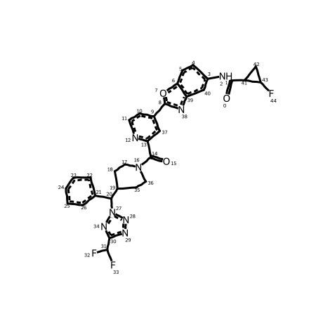 O=C(Nc1ccc2oc(-c3ccnc(C(=O)N4CCC(C(c5ccccc5)n5nnc(C(F)F)n5)CC4)c3)nc2c1)C1CC1F